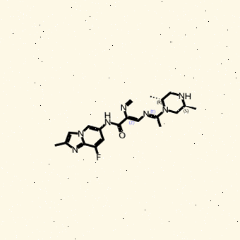 C=N/C(=C\N=C(/C)N1C[C@H](C)NC[C@H]1C)C(=O)Nc1cc(F)c2nc(C)cn2c1